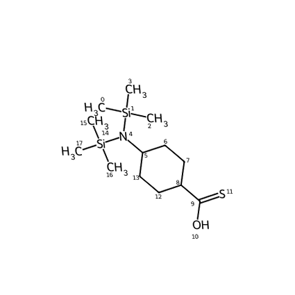 C[Si](C)(C)N(C1CCC(C(O)=S)CC1)[Si](C)(C)C